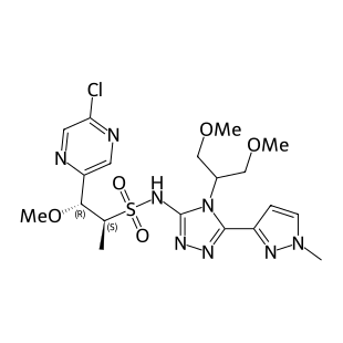 COCC(COC)n1c(NS(=O)(=O)[C@@H](C)[C@H](OC)c2cnc(Cl)cn2)nnc1-c1ccn(C)n1